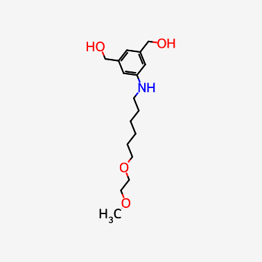 COCCOCCCCCCNc1cc(CO)cc(CO)c1